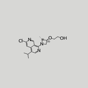 CC(C)c1cnc(N2C[C@H](OCCO)[C@H]2C)c2cnc(Cl)cc12